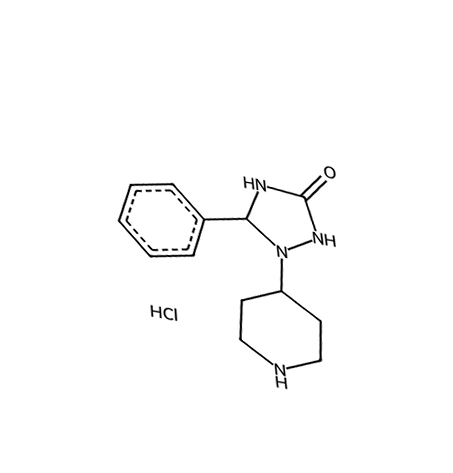 Cl.O=C1NC(c2ccccc2)N(C2CCNCC2)N1